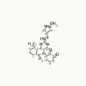 Cc1cccc(C)c1-c1cc(Oc2c(F)cccc2Cl)nc(NSc2cnn(C)c2)n1